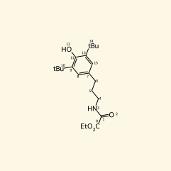 CCOC(=O)C(=O)NCCCc1cc(C(C)(C)C)c(O)c(C(C)(C)C)c1